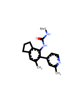 CSNC(=O)Nc1c2c(cc(C)c1-c1ccnc(C)c1)CCC2